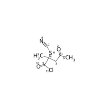 CC(=O)CC(C)(SC#N)C(=O)Cl